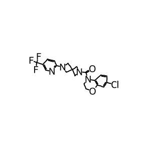 O=C(N1CC2(C1)CN(c1ccc(C(F)(F)F)cn1)C2)N1CCOc2cc(Cl)ccc21